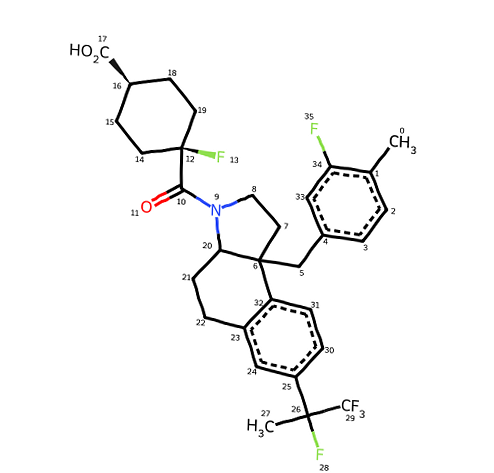 Cc1ccc(CC23CCN(C(=O)[C@]4(F)CC[C@@H](C(=O)O)CC4)C2CCc2cc(C(C)(F)C(F)(F)F)ccc23)cc1F